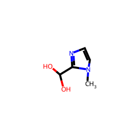 Cn1ccnc1C(O)O